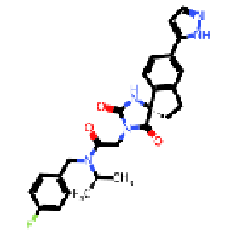 C[C@H](N(Cc1ccc(F)cc1)C(=O)CN1C(=O)N[C@]2(CCc3cc(-c4ccn[nH]4)ccc32)C1=O)C(F)(F)F